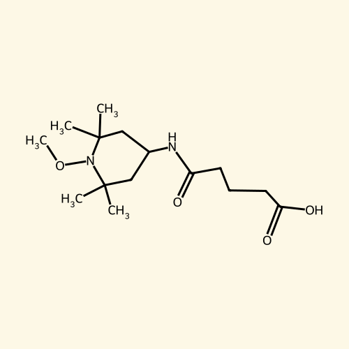 CON1C(C)(C)CC(NC(=O)CCCC(=O)O)CC1(C)C